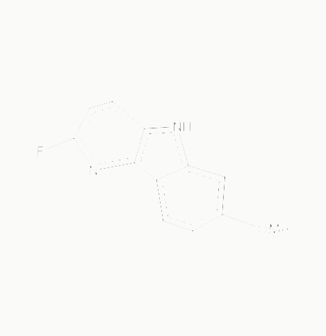 COc1ccc2c(c1)[nH]c1ccc(F)nc12